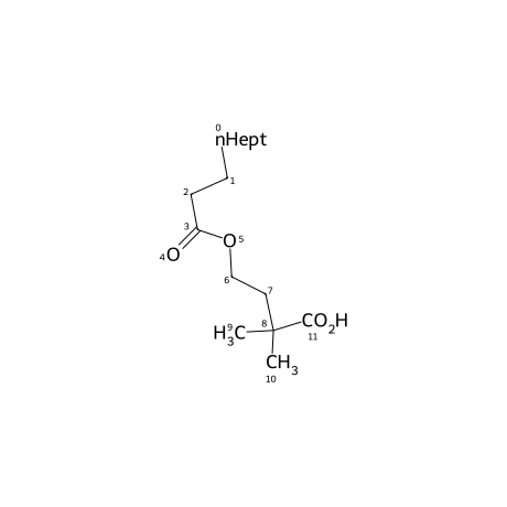 CCCCCCCCCC(=O)OCCC(C)(C)C(=O)O